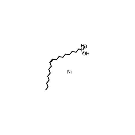 CCCCCCCC/C=C\CCCCCCCC[PH](=O)O.[Ni]